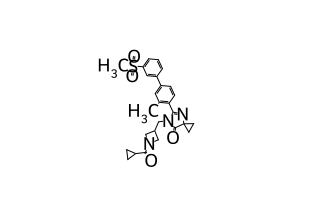 Cc1cc(-c2cccc(S(C)(=O)=O)c2)ccc1C1=NC2(CC2)C(=O)N1CC1CN(C(=O)C2CC2)C1